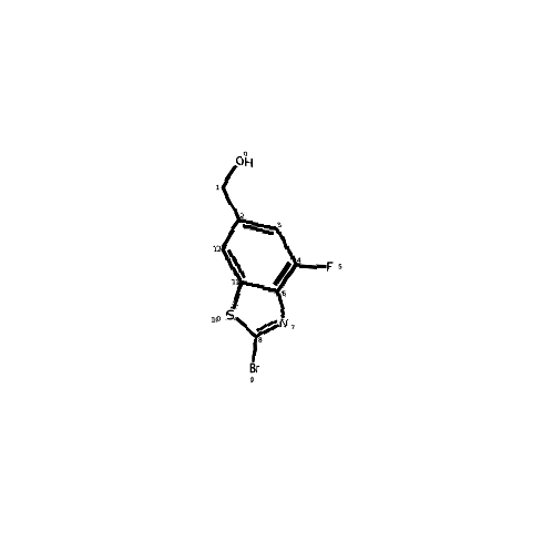 OCc1cc(F)c2nc(Br)sc2c1